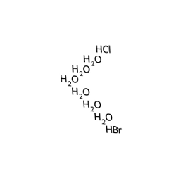 Br.Cl.O.O.O.O.O.O